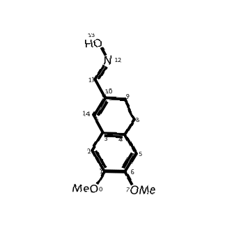 COc1cc2c(cc1OC)CCC(C=NO)=C2